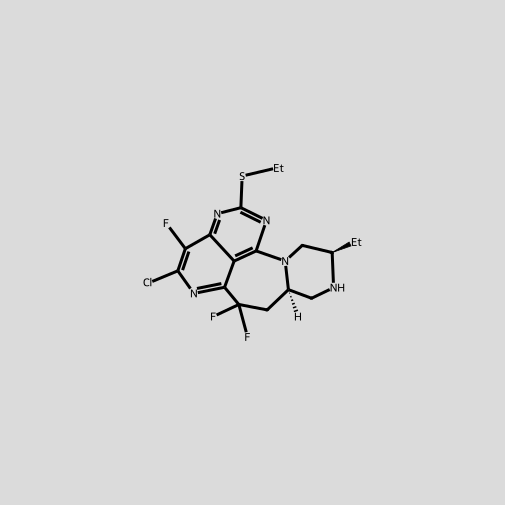 CCSc1nc2c3c(nc(Cl)c(F)c3n1)C(F)(F)C[C@@H]1CN[C@H](CC)CN21